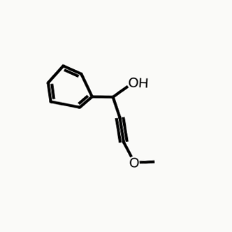 COC#CC(O)c1ccccc1